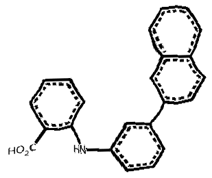 O=C(O)c1ccccc1Nc1cccc(-c2ccc3ccccc3c2)c1